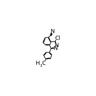 Cc1ccc(-c2nnc(Cl)c3c(C#N)cccc23)cc1